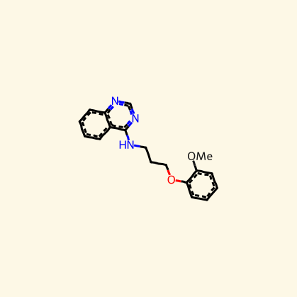 COc1ccccc1OCCCNc1ncnc2ccccc12